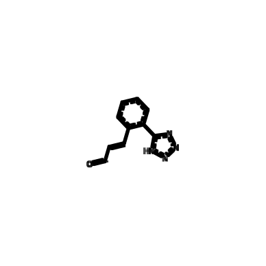 O=[C]/C=C/c1ccccc1-c1nnn[nH]1